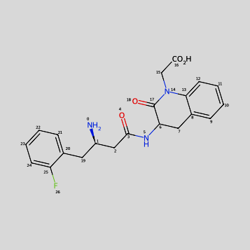 N[C@@H](CC(=O)NC1Cc2ccccc2N(CC(=O)O)C1=O)Cc1ccccc1F